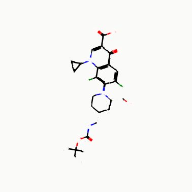 CC(C)(C)OC(=O)NC[C@@H]1CCN(c2c(F)cc3c(=O)c(C(=O)O)cn(C4CC4)c3c2F)[C@H](CO)C1